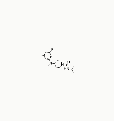 Cc1cc(F)cc(N(C)C2CCN(C(=O)NC(C)C)CC2)c1